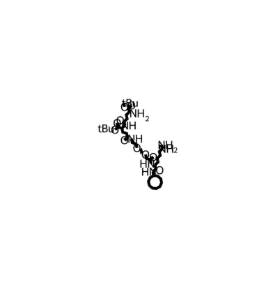 CC(C)(C)OC(=O)C(N)CCC(=O)NC(CCC(=O)NCCOCCOCC(=O)NC(CCCCNN)C(=O)NC1CCCCCCCCC1)C(=O)OC(C)(C)C